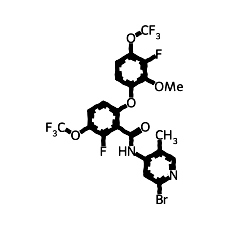 COc1c(Oc2ccc(OC(F)(F)F)c(F)c2C(=O)Nc2cc(Br)ncc2C)ccc(OC(F)(F)F)c1F